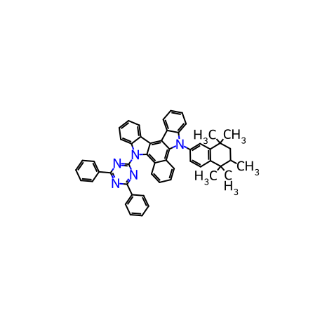 CC1CC(C)(C)c2cc(-n3c4ccccc4c4c5c6ccccc6n(-c6nc(-c7ccccc7)nc(-c7ccccc7)n6)c5c5ccccc5c43)ccc2C1(C)C